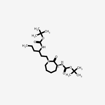 CCCC(CCN1CCCC[C@H](NC(=O)OC(C)(C)C)C1=O)NC(=O)OC(C)(C)C